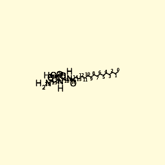 CCCCCCCCCCCCCCCC(=O)NCC(=O)N[C@@H](CC(N)=O)C(=O)O